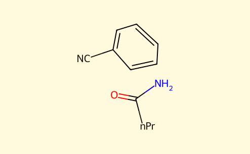 CCCC(N)=O.N#Cc1ccccc1